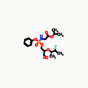 CC(C)OC(=O)CN[P@](=O)(OCC(CO)O[C@@H](C)C(C)F)Oc1ccccc1